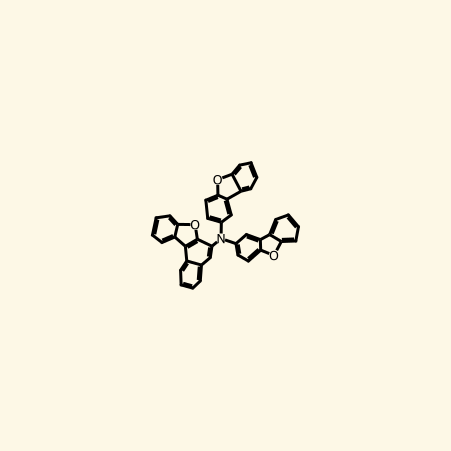 c1ccc2c(c1)cc(N(c1ccc3oc4ccccc4c3c1)c1ccc3oc4ccccc4c3c1)c1oc3ccccc3c12